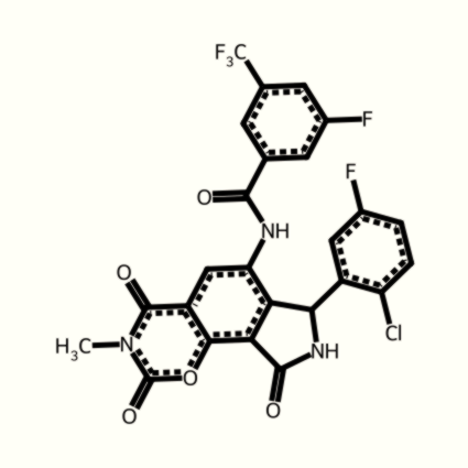 Cn1c(=O)oc2c3c(c(NC(=O)c4cc(F)cc(C(F)(F)F)c4)cc2c1=O)C(c1cc(F)ccc1Cl)NC3=O